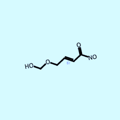 O=NC(=O)/C=C/COCO